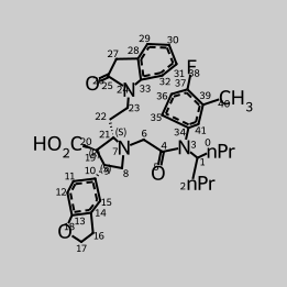 CCCC(CCC)N(C(=O)CN1C[C@H](c2ccc3c(c2)CCO3)[C@@H](C(=O)O)[C@@H]1CCN1C(=O)Cc2ccccc21)c1ccc(F)c(C)c1